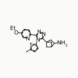 CCOc1ccc(-c2nnc(C34CC(N)C(C3)C4)n2-c2ccc(C)s2)nc1